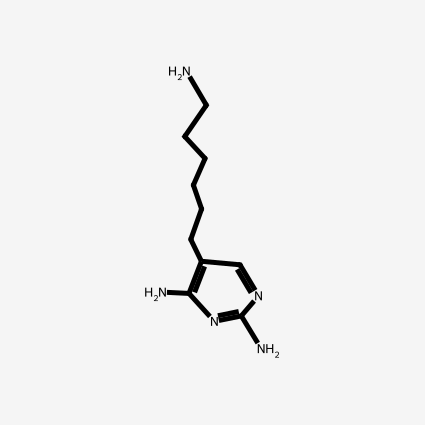 NCCCCCCc1cnc(N)nc1N